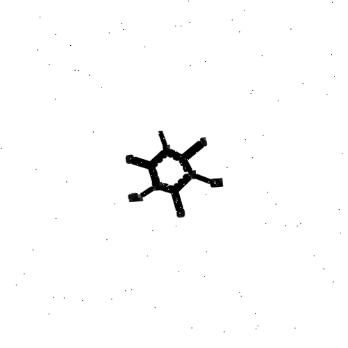 Cn1c(=S)n(C#N)c(=O)n(C(C)(C)C)c1=O